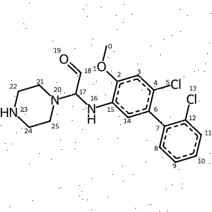 COc1cc(Cl)c(-c2ccccc2Cl)cc1NC(C=O)N1CCNCC1